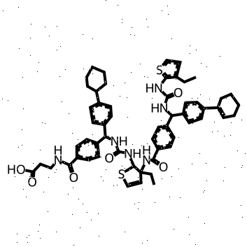 CCc1ccsc1NC(=O)NC(c1ccc(C(=O)NC2(CC)C=CSC2NC(=O)NC(c2ccc(C(=O)NCCC(=O)O)cc2)c2ccc(C3CCCCC3)cc2)cc1)c1ccc(C2=CCCCC2)cc1